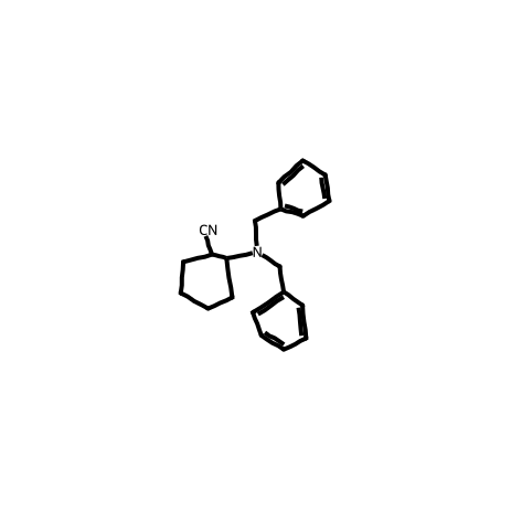 N#CC1CCCCC1N(Cc1ccccc1)Cc1ccccc1